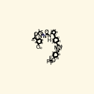 COc1ccc(N2C(=O)CS/C2=N\C(=O)NC2CCCC2c2ccc(-c3ncn(-c4ccc(OC(F)(F)F)cc4)n3)cc2)c(C(C)C)c1